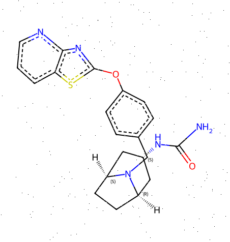 NC(=O)N[C@@H]1C[C@H]2CC[C@@H](C1)N2Cc1ccc(Oc2nc3ncccc3s2)cc1